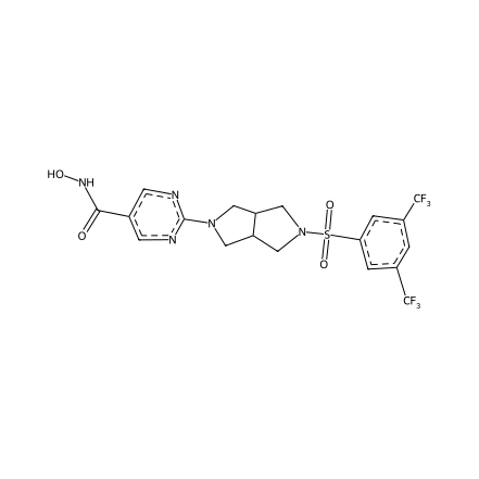 O=C(NO)c1cnc(N2CC3CN(S(=O)(=O)c4cc(C(F)(F)F)cc(C(F)(F)F)c4)CC3C2)nc1